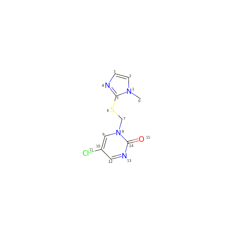 Cn1ccnc1SCn1cc(Cl)cnc1=O